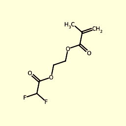 C=C(C)C(=O)OCCOC(=O)C(F)F